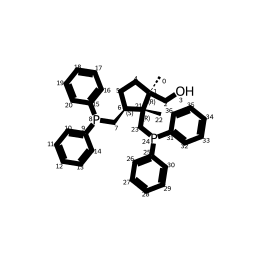 C[C@@]1(CO)CC[C@H](CP(c2ccccc2)c2ccccc2)[C@@]1(C)CP(c1ccccc1)c1ccccc1